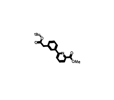 COC(=O)c1cccc(-c2cccc(CC(=O)OC(C)(C)C)c2)n1